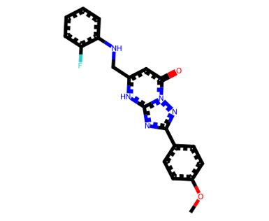 COc1ccc(-c2nc3[nH]c(CNc4ccccc4F)cc(=O)n3n2)cc1